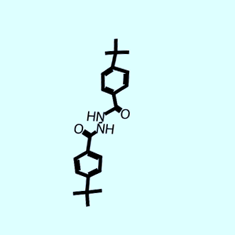 CC(C)(C)c1ccc(C(=O)NNC(=O)c2ccc(C(C)(C)C)cc2)cc1